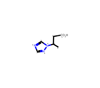 CC(CC(=O)O)n1cncn1